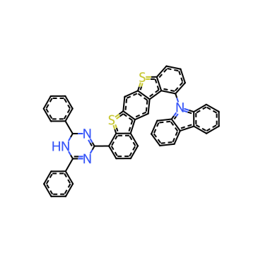 c1ccc(C2=NC(c3cccc4c3sc3cc5sc6cccc(-n7c8ccccc8c8ccccc87)c6c5cc34)=NC(c3ccccc3)N2)cc1